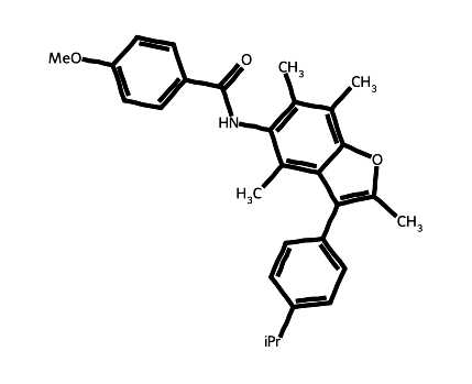 COc1ccc(C(=O)Nc2c(C)c(C)c3oc(C)c(-c4ccc(C(C)C)cc4)c3c2C)cc1